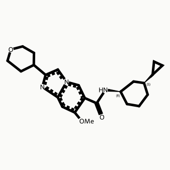 COc1cc2nc(C3CCOCC3)cn2cc1C(=O)N[C@@H]1CCC[C@H](C2CC2)C1